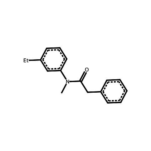 CCc1cccc(N(C)C(=O)Cc2ccccc2)c1